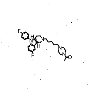 CC(=O)N1CCN(CCCCCN2CC[C@@H]3[C@@H](C2)c2cc(F)ccc2N3c2ccc(F)cc2)CC1